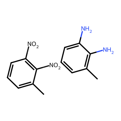 Cc1cccc(N)c1N.Cc1cccc([N+](=O)[O-])c1[N+](=O)[O-]